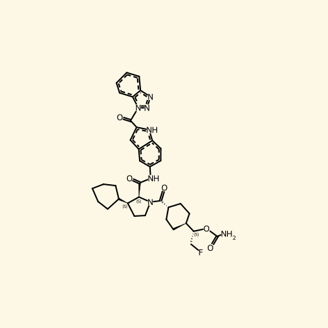 NC(=O)O[C@H](CF)[C@H]1CC[C@H](C(=O)N2CC[C@@H](C3CCCCC3)[C@H]2C(=O)Nc2ccc3[nH]c(C(=O)n4nnc5ccccc54)cc3c2)CC1